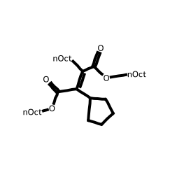 CCCCCCCCOC(=O)C(CCCCCCCC)=C(C(=O)OCCCCCCCC)C1CCCC1